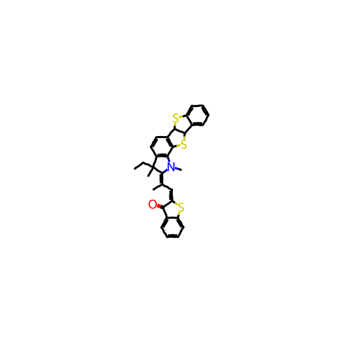 CCC1(C)/C(=C(C)/C=C2/Sc3ccccc3C2=O)N(C)c2c1ccc1c2SC2c3ccccc3SC12